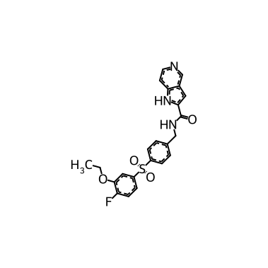 CCOc1cc(S(=O)(=O)c2ccc(CNC(=O)c3cc4cnccc4[nH]3)cc2)ccc1F